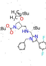 CC(C)(C)OC(=O)N1C[C@H](CN[C@@H](c2nc(-c3cc(F)ccc3F)cn2Cc2ccccc2)C(C)(C)C)[C@@H](O[Si](C)(C)C(C)(C)C)C1